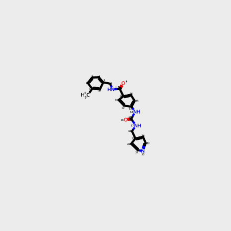 Cc1cccc(CNC(=O)c2ccc(NC(=O)NCc3ccncc3)cc2)c1